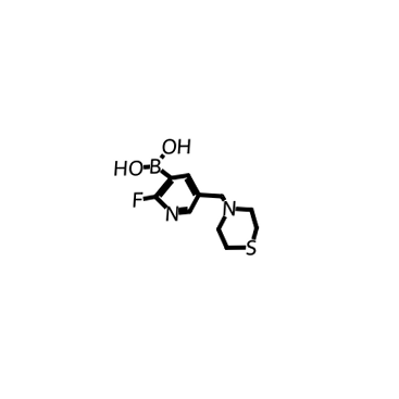 OB(O)c1cc(CN2CCSCC2)cnc1F